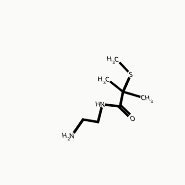 CSC(C)(C)C(=O)NCCN